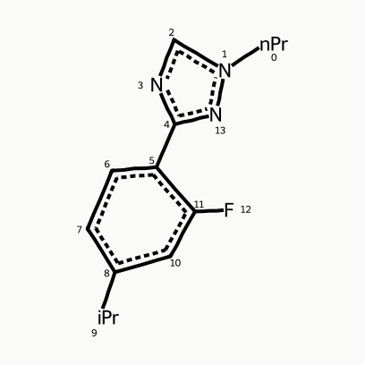 CCCn1cnc(-c2ccc(C(C)C)cc2F)n1